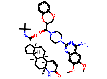 CC(C)(C)NC(=O)[C@H]1CC[C@H]2[C@@H]3CC[C@H]4NC(=O)C=C[C@]4(C)[C@H]3CC[C@]12C.COc1cc2nc(N3CCN(C(=O)C4COc5ccccc5O4)CC3)nc(N)c2cc1OC